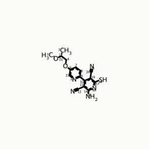 CO[C@@H](C)COc1ccc(-c2c(C#N)c(N)nc(S)c2C#N)nc1